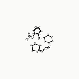 C(=NC1CCCCC1)=NC1CCCCC1.O=[SH]Oc1ccccc1Br